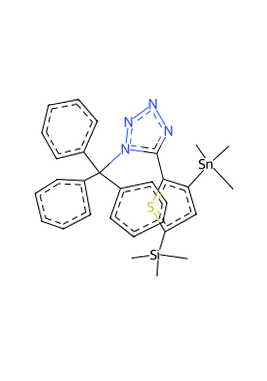 C[Si](C)(C)c1c[c]([Sn]([CH3])([CH3])[CH3])c(-c2nnnn2C(c2ccccc2)(c2ccccc2)c2ccccc2)s1